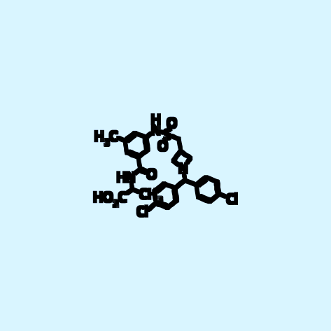 Cc1cc(NS(=O)(=O)CC2CN(C(c3ccc(Cl)cc3)c3ccc(Cl)cc3)C2)cc(C(=O)NC(C)C(=O)O)c1